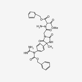 COC(=O)C(C(=O)OCc1ccccc1)N(N)C(=O)CN1C(=O)NC(C)(c2ccc(N(C(=N)N)C(=O)OCc3ccccc3)cc2)C1=O